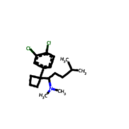 CC(C)CCC(N(C)C)C1(c2ccc(Cl)c(Cl)c2)CCC1